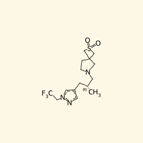 C[C@H](Cc1cnn(CC(F)(F)F)c1)CN1CCC2(C1)CS(=O)(=O)C2